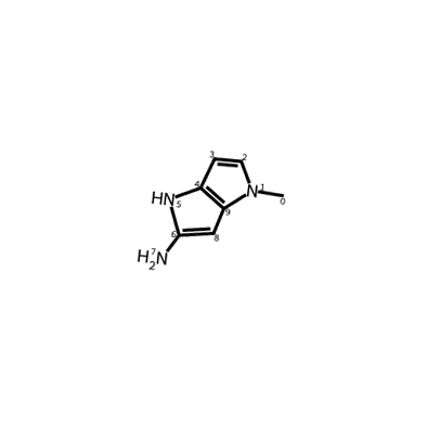 Cn1ccc2[nH]c(N)cc21